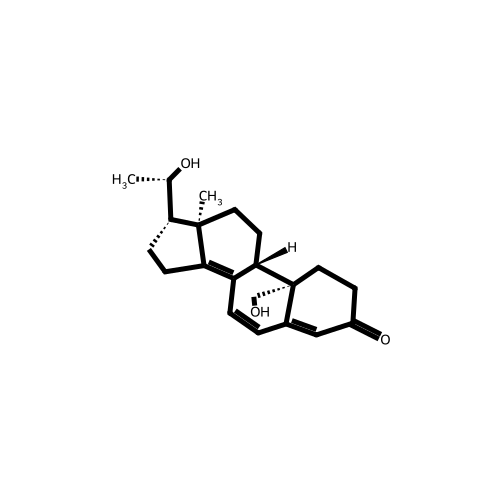 C[C@H](O)[C@H]1CCC2=C3C=CC4=CC(=O)CC[C@]4(CO)[C@H]3CC[C@@]21C